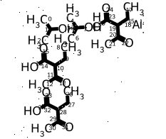 CC(C)O.CC(C)O.CCC(C(C)=O)C(=O)O.CCC(C(C)=O)C(=O)O.CCC(C(C)=O)C(=O)O.[Al]